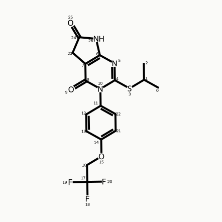 CC(C)Sc1nc2c(c(=O)n1-c1ccc(OCC(F)(F)F)cc1)CC(=O)N2